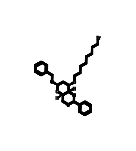 BrCCCCCCCCO[C@@H]1C[C@H](OCc2ccccc2)O[C@@H]2COC(c3ccccc3)O[C@@H]12